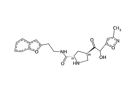 Cc1cc(C(O)C(=O)[C@H]2CN[C@H](C(=O)NCCc3cc4ccccc4o3)C2)on1